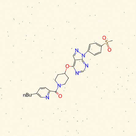 CCCCc1ccc(C(=O)N2CCC(Oc3ncnc4c3cnn4-c3ccc(S(C)(=O)=O)cc3)CC2)nc1